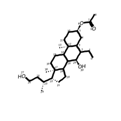 CCC1C2C[C@H](OC(C)=O)CC[C@]2(C)C2CC[C@@]3(C)C(CC[C@@H]3[C@H](C)CCO)C2[C@@H]1O